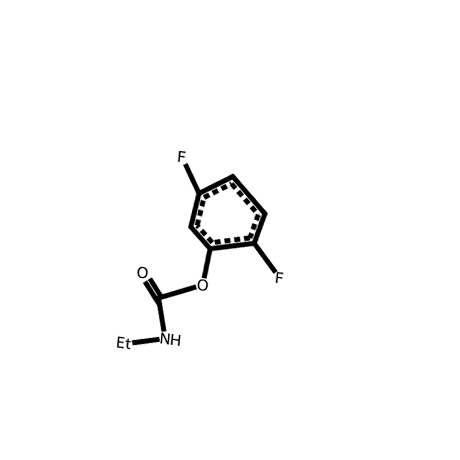 CCNC(=O)Oc1cc(F)ccc1F